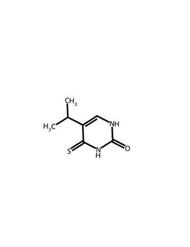 CC(C)c1c[nH]c(=O)[nH]c1=S